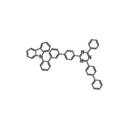 c1ccc(-c2ccc(-c3nc(-c4ccccc4)nc(-c4ccc(-c5cccc(-c6ccccc6-n6c7ccccc7c7ccccc76)c5)cc4)n3)cc2)cc1